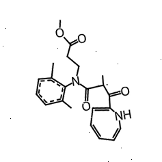 COC(=O)CCN(C(=O)[C](C)C(=O)C1=CC=CC=CN1)c1c(C)cccc1C